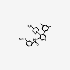 COc1cccc(C(=O)Nc2cncc(-c3cc(C)cc(C)c3)c2N2CCC(N)CC2)c1